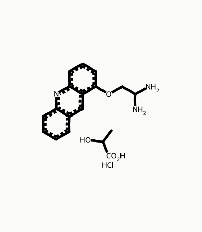 CC(O)C(=O)O.Cl.NC(N)COc1cccc2nc3ccccc3cc12